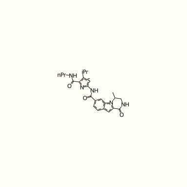 CCCNC(=O)c1nc(NC(=O)c2ccc3cc4n(c3c2)C(C)CNC4=O)sc1C(C)C